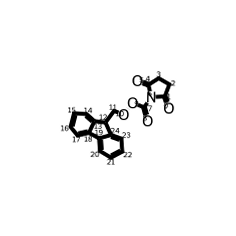 O=C1CCC(=O)N1C(=O)OOCC1c2ccccc2-c2ccccc21